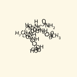 C=C(C)N1CC[C@H]2CC[C@@H](C(=O)N[C@@H](CCC(N)=O)C(=O)NCc3ccc(S(C)(=O)=O)cc3)N2C(=O)[C@@H](NC(=O)c2cc3cc(C(=O)P(=O)(O)O)ccc3[nH]2)C1